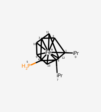 CC(C)[C]12[CH]3[CH]4[C]5(P)[C]1(C(C)C)[Fe]43521678[CH]2[CH]1[CH]6[CH]7[CH]28